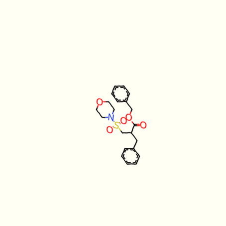 O=C(OCc1ccccc1)C(Cc1ccccc1)CS(=O)(=O)N1CCOCC1